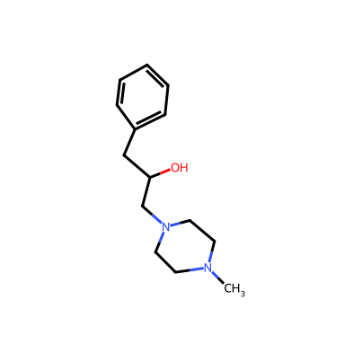 CN1CCN(CC(O)Cc2ccccc2)CC1